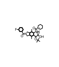 Cc1c2c(c(C)c([C@H](OC(C)(C)C)C(=O)O)c1NC(=O)N1CCCCC1)CN(C(=O)c1cccc(F)c1)C2